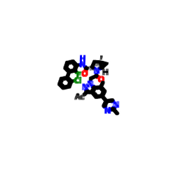 CC(=O)c1nn(CC(=O)N2[C@H](C(=O)Nc3cccc(-c4ccccc4Cl)c3F)C[C@@]3(C)C[C@@H]23)c2c(C)cc(-c3cnc(C)nc3)cc12